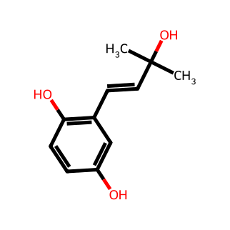 CC(C)(O)C=Cc1cc(O)ccc1O